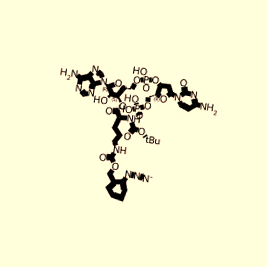 CC(C)(C)OC(=O)NC(CCCNC(=O)OCc1ccccc1N=[N+]=[N-])C(=O)O[C@H]1[C@@H](O)[C@H](n2cnc3c(N)ncnc32)O[C@@H]1COP(=O)(O)OC1CC(n2ccc(N)nc2=O)O[C@@H]1COP(=O)(O)O